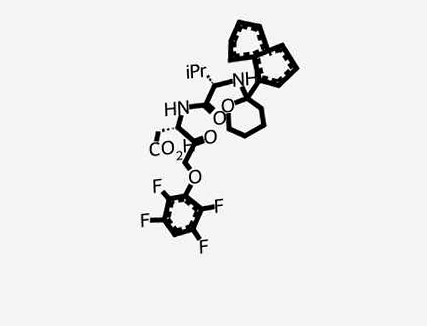 CC(C)[C@H](NC1(c2cccc3ccccc23)CCCCO1)C(=O)N[C@@H](CC(=O)O)C(=O)COc1c(F)c(F)cc(F)c1F